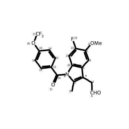 COc1cc2c(CC=O)c(C)n(C(=O)c3ccc(OC(F)(F)F)cc3)c2cc1F